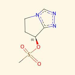 CS(=O)(=O)O[C@H]1CCn2cnnc21